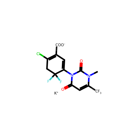 Cn1c(C(F)(F)F)cc(=O)n(C2=CC(C(=O)[O-])=C(Cl)CC2(F)F)c1=O.[K+]